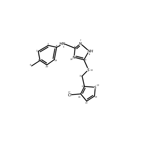 Cc1ccc(Nc2n[nH]c(SCc3sccc3Cl)n2)cc1